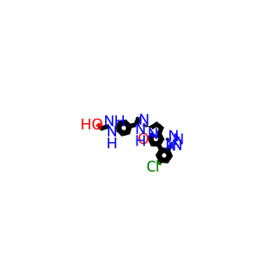 N=C(CO)Nc1ccc(-c2cnc([C@@H]3CCc4cc(-c5cc(Cl)ccc5-n5cnnn5)cc(=O)n43)[nH]2)cc1